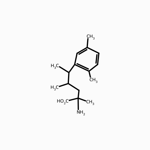 Cc1ccc(C)c(C(C)C(C)CC(C)(N)C(=O)O)c1